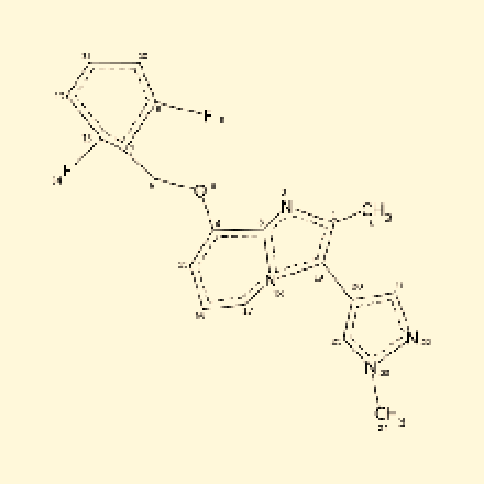 Cc1nc2c(OCc3c(F)cccc3F)cccn2c1-c1cnn(C)c1